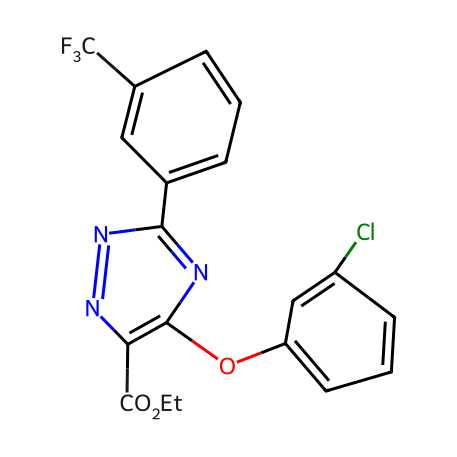 CCOC(=O)c1nnc(-c2cccc(C(F)(F)F)c2)nc1Oc1cccc(Cl)c1